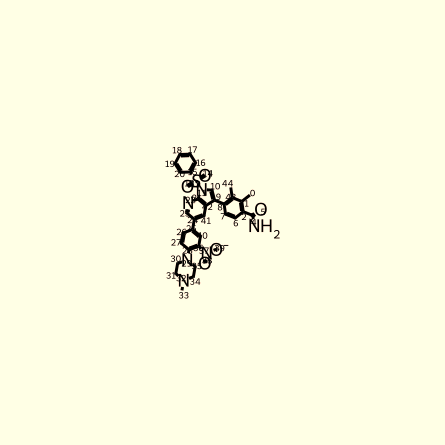 Cc1c(C(N)=O)ccc(-c2cn(S(=O)(=O)c3ccccc3)c3ncc(-c4ccc(N5CCN(C)CC5)c([N+](=O)[O-])c4)cc23)c1C